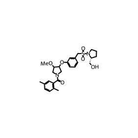 COC1CN(C(=O)c2cc(C)ccc2C)CC1Oc1cccc(CS(=O)(=O)N2CCC[C@@H]2CO)c1